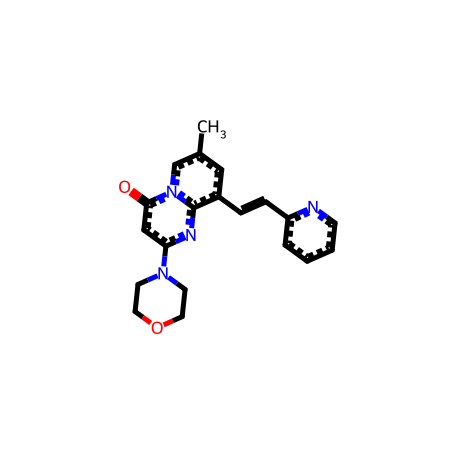 Cc1cc(/C=C/c2ccccn2)c2nc(N3CCOCC3)cc(=O)n2c1